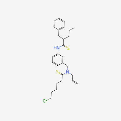 C=CCN(Cc1cccc(NC(=S)C(CCC)Cc2ccccc2)c1)C(=S)CCCCCCl